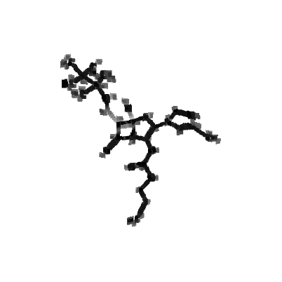 C=CCOC(=O)OC1=C(n2cnc(C)c2)S[C@@H]2[C@@H](CO[Si](C)(C)C(C)(C)C)C(=O)N12